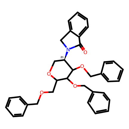 O=C1c2ccccc2CN1[C@@H]1COC(COCc2ccccc2)C(OCc2ccccc2)C1OCc1ccccc1